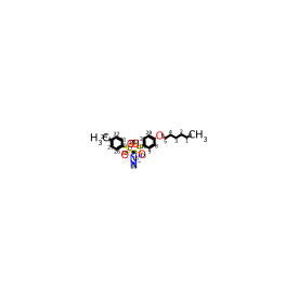 CCCCCCOc1ccc(S(=O)(=O)C(=[N+]=[N-])S(=O)(=O)c2ccc(C)cc2)cc1